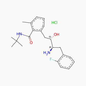 Cc1cccc(C[C@H](O)[C@H](N)Cc2ccccc2F)c1C(=O)NC(C)(C)C.Cl